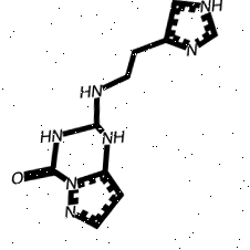 O=C1NC(NCCc2c[nH]cn2)Nc2ccnn21